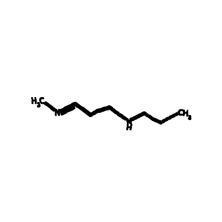 CCCNCCC=NC